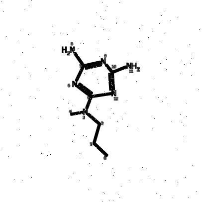 CCCN(C)c1nc(N)nc(N)n1